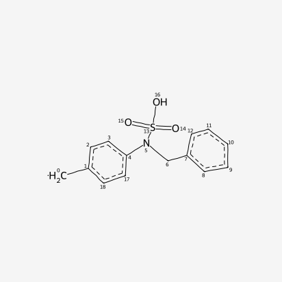 [CH2]c1ccc(N(Cc2ccccc2)S(=O)(=O)O)cc1